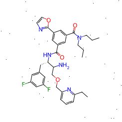 CCCN(CCC)C(=O)c1cc(C(=O)N[C@@H](Cc2cc(F)cc(F)c2)C(N)COCc2cccc(CC)n2)cc(-c2ncco2)c1